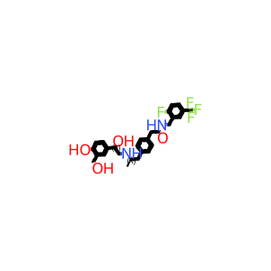 C[C@H](Cc1ccc(CC(=O)NCc2cc(C(F)(F)F)ccc2F)cc1)NC[C@H](O)c1ccc(O)c(CO)c1